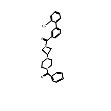 O=C(c1ccccc1)N1CCN(C2CN(C(=O)c3cccc(-c4ccccc4C(F)(F)F)c3)C2)CC1